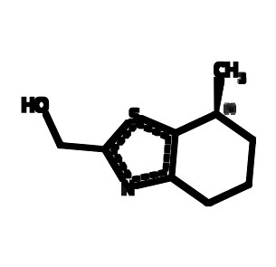 C[C@H]1CCCc2nc(CO)sc21